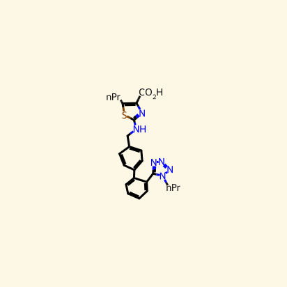 CCCc1sc(NCc2ccc(-c3ccccc3-c3nnnn3CCC)cc2)nc1C(=O)O